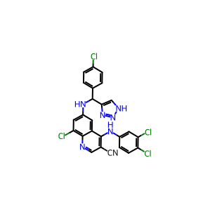 N#Cc1cnc2c(Cl)cc(NC(c3ccc(Cl)cc3)c3c[nH]nn3)cc2c1Nc1ccc(Cl)c(Cl)c1